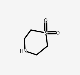 O=S1(=O)C[CH]NCC1